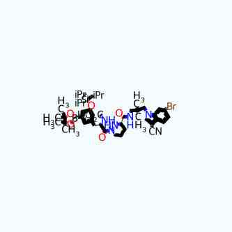 CC(C)[Si](Oc1cc(C[C@H](NC(=O)O)C(=O)N2CCC[C@@H](C(=O)NCC(C)(C)Cn3cc(C#N)c4ccc(Br)cc43)N2)cc(B2OC(C)(C)C(C)(C)O2)c1)(C(C)C)C(C)C